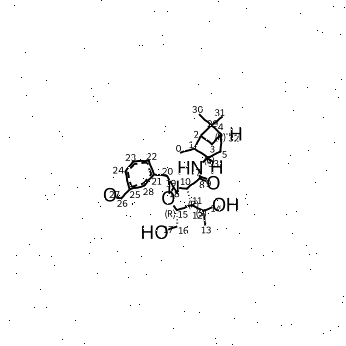 CC1C2C[C@H](C[C@@H]1NC(=O)C1[C@H]([C@H](C)O)[C@H](CO)ON1Cc1cccc(C=O)c1)C2(C)C